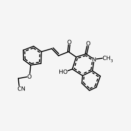 Cn1c(=O)c(C(=O)C=Cc2cccc(OCC#N)c2)c(O)c2ccccc21